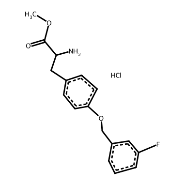 COC(=O)C(N)Cc1ccc(OCc2cccc(F)c2)cc1.Cl